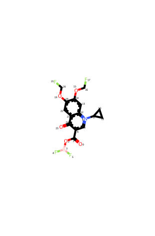 O=C(OB(F)F)c1cn(C2CC2)c2cc(OCF)c(OCF)cc2c1=O